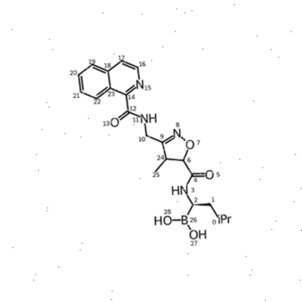 CC(C)C[C@H](NC(=O)C1ON=C(CNC(=O)c2nccc3ccccc23)C1C)B(O)O